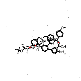 COc1ccc(CN(Cc2ccc(OC)cc2)S(=O)(=O)c2c(S(=O)(=O)NCCNC(=O)OC(C)(C)C)ccc(-c3ccc(N)c(C(=O)O)c3)c2-c2nnn(Cc3ccc(OC)cc3)n2)cc1